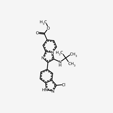 COC(=O)c1ccn2c(NC(C)(C)C)c(-c3ccc4[nH]nc(Cl)c4c3)nc2c1